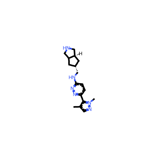 Cc1cnn(C)c1-c1ccc(NC[C@@H]2CC3CNC[C@H]3C2)nn1